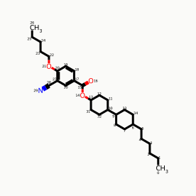 CCCCCCC1CCC(C2CCC(OC(=O)c3ccc(OCCCCC)c(C#N)c3)CC2)CC1